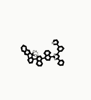 CC1(C)c2cc3ccccc3cc2-c2cccc(-c3ccc(-c4ccc(-c5nc(-c6ccccc6)cc(-c6cccc(-c7cccnc7)c6)n5)c5ccccc45)c4ccccc34)c21